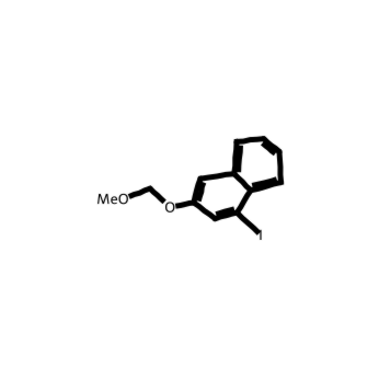 COCOc1cc(I)c2ccccc2c1